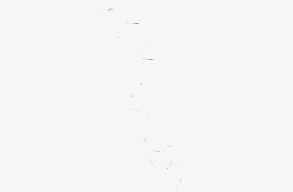 COC1CCN(C(=O)CCCN2CCN(c3ccc(C)cc3)CC2)CC1